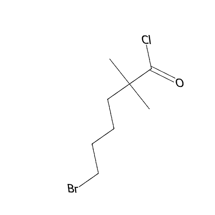 CC(C)(CCCCBr)C(=O)Cl